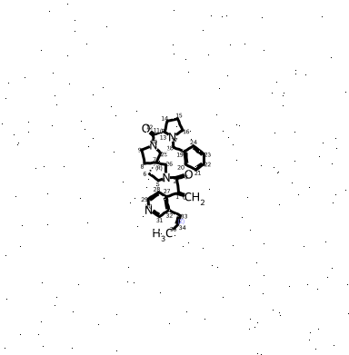 C=C(C(=O)N1CC[C@@]2(CCN(C(=O)[C@H]3CCCN3Cc3ccccc3)C2)C1)c1ccncc1/C=C\C